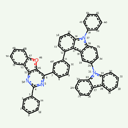 c1ccc(-c2nc(-c3cccc(-c4cccc5c4c4cc(-n6c7ccccc7c7ccccc76)ccc4n5-c4ccccc4)c3)c3oc4ccccc4c3n2)cc1